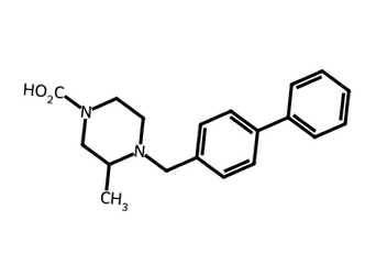 CC1CN(C(=O)O)CCN1Cc1ccc(-c2ccccc2)cc1